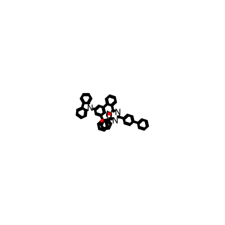 c1ccc(-c2ccc(-c3nc(-c4ccccc4)nc(-c4ccccc4-c4cc(-n5c6ccccc6c6ccccc65)cc5c4oc4ccccc45)n3)cc2)cc1